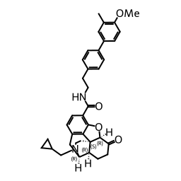 COc1ccc(-c2ccc(CCNC(=O)c3ccc4c5c3O[C@H]3C(=O)CC[C@H]6[C@@H](C4)N(CC4CC4)CC[C@]536)cc2)cc1C